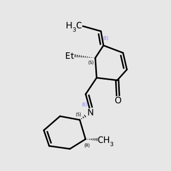 C/C=C1/C=CC(=O)C(/C=N/[C@H]2CC=CC[C@H]2C)[C@@H]1CC